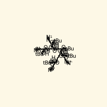 CCCCNC(=O)[C@@H](CCCCNC(=O)[C@H](CCCCNC(=O)[C@@H](CCCCN=[N+]=[N-])NC(=O)OC(C)(C)C)NC(=O)[C@H](CCCCN=[N+]=[N-])NC(=O)OC(C)(C)C)NC(=O)[C@H](CCCCCCNC(=O)[C@@H](CCCCN=[N+]=[N-])NC(=O)OC(C)(C)C)NC(=O)[C@H](CCCCN=[N+]=[N-])NC(=O)OC(C)(C)C